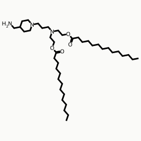 CCCCCCCCCCCCCC(=O)OCCN(CCCN1CCC(CN)CC1)CCOC(=O)CCCCCCCCCCCCC